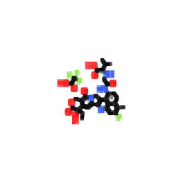 CC[C@@]1(O)C(=O)OCc2c1cc1n(c2=O)Cc2c-1nc1cc(F)c(C)c3c1c2[C@@H](NC(=O)CN[C@H](C(=O)O)C(C)C)CC3.O=C(O)C(F)(F)F